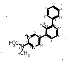 CN(C)c1ncc(-c2cccc(-c3ccccc3)c2F)cn1